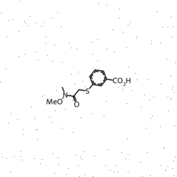 CON(C)C(=O)CSc1cccc(C(=O)O)c1